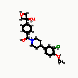 COc1ccc(C2CCN(C(=O)c3ccc(C4(O)COC4)cc3)CC2)cc1Cl